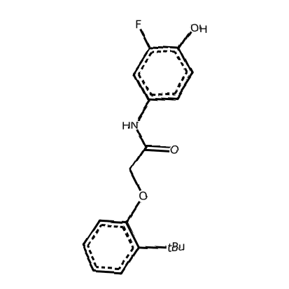 CC(C)(C)c1ccccc1OCC(=O)Nc1ccc(O)c(F)c1